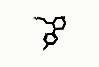 CCCC1CNCCN1c1ncc(F)cn1